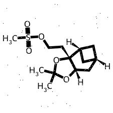 CC1(C)O[C@H]2C[C@H]3C[C@H](C3)[C@@]2(CCOS(C)(=O)=O)O1